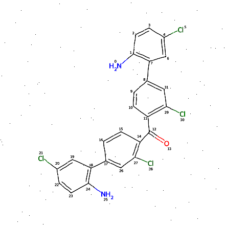 Nc1ccc(Cl)cc1-c1ccc(C(=O)c2ccc(-c3cc(Cl)ccc3N)cc2Cl)c(Cl)c1